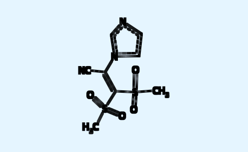 CS(=O)(=O)C(=C(C#N)n1ccnc1)S(C)(=O)=O